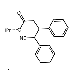 CC(C)OC(=O)CC(c1ccccc1)C(C#N)c1ccccc1